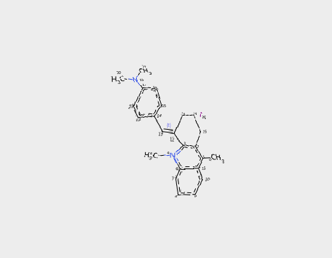 Cc1c2c([n+](C)c3ccccc13)/C(=C/c1ccc(N(C)C)cc1)CCC2.[I-]